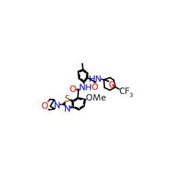 COc1ccc2nc(N3C4COCC3C4)sc2c1C(=O)Nc1ccc(C)cc1C(=O)NC12CCC(C(F)(F)F)(CC1)OC2